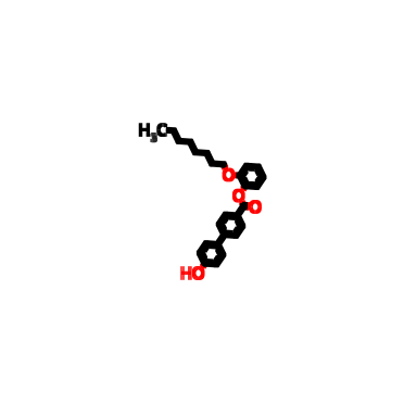 CCCCCCCCOc1ccccc1OC(=O)c1ccc(-c2ccc(O)cc2)cc1